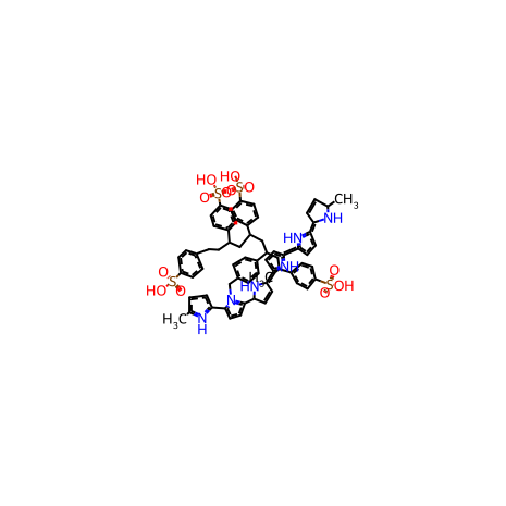 Cc1ccc(-c2ccc(C3C=C/C(=c4/cc/c(=c5/cc/c(=C6/C=CC(C)N6)[nH]5)[nH]4)N3)n2Cc2ccc(C(CC(C)c3ccc(S(=O)(=O)O)cc3)CC(CC(CCc3ccc(S(=O)(=O)O)cc3)c3ccc(S(=O)(=O)O)cc3)c3ccc(S(=O)(=O)O)cc3)cc2)[nH]1